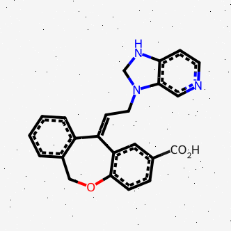 O=C(O)c1ccc2c(c1)C(=CCN1CNc3ccncc31)c1ccccc1CO2